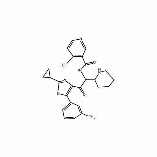 Cc1cccc(-c2sc(C3CC3)nc2C(=O)C(NC(=O)c2cnccc2C)C2CCCCN2)c1